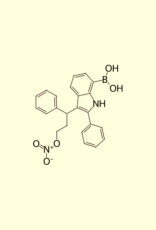 O=[N+]([O-])OCCC(c1ccccc1)c1c(-c2ccccc2)[nH]c2c(B(O)O)cccc12